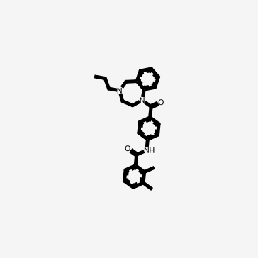 CCCN1CCN(C(=O)c2ccc(NC(=O)c3cccc(C)c3C)cc2)c2ccccc2C1